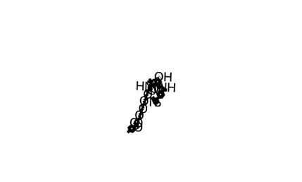 Cc1ccc(S(=O)(=O)OCCOCCOCCOCCOCC(=O)NC(C(=O)N2C[C@H](O)C[C@H]2C(=O)NC(C)c2ccc(-c3scnc3C)cc2)C(C)(C)C)cc1